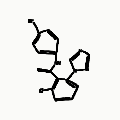 O=C(Nc1ccc(Br)cc1)c1c(Cl)cccc1-n1cncn1